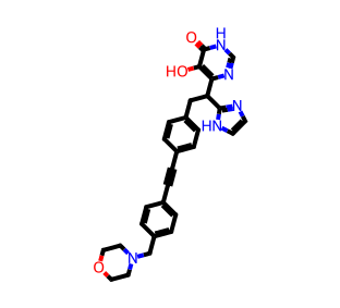 O=c1[nH]cnc(C(Cc2ccc(C#Cc3ccc(CN4CCOCC4)cc3)cc2)c2ncc[nH]2)c1O